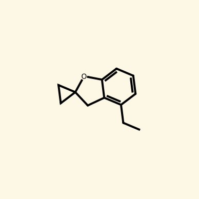 CCc1cccc2c1CC1(CC1)O2